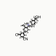 C=NC1=C(/C(=N\C)Nc2ccc(C(C)(C)O)cn2)CCN(c2cc(Cl)cc(C#N)c2)C1